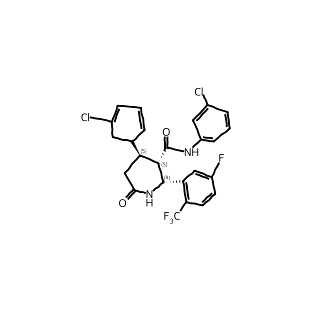 O=C1C[C@@H](C2C=CC=C(Cl)C2)[C@H](C(=O)Nc2cccc(Cl)c2)[C@H](c2cc(F)ccc2C(F)(F)F)N1